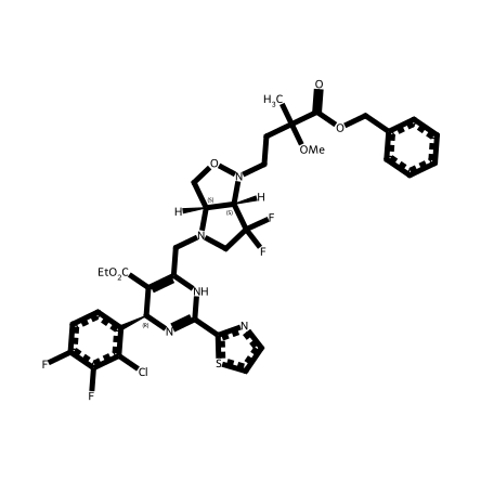 CCOC(=O)C1=C(CN2CC(F)(F)[C@@H]3[C@H]2CON3CCC(C)(OC)C(=O)OCc2ccccc2)NC(c2nccs2)=N[C@H]1c1ccc(F)c(F)c1Cl